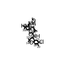 COCC[C@H](C1C[C@H]1C(=O)N[C@H]1CC(C)(C)Oc2cc(C)c(Cl)cc21)N1C(=N)NC(C)(C)CC1=O